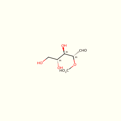 O=C[C@H](OC(=O)O)[C@H](O)[C@H](O)CO